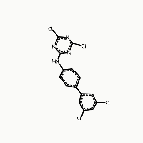 Clc1cc(Cl)cc(-c2ccc(Nc3nc(Cl)nc(Cl)n3)cc2)c1